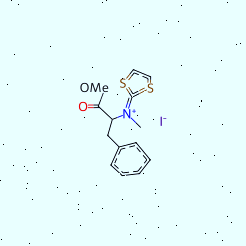 COC(=O)C(Cc1ccccc1)[N+](C)=c1sccs1.[I-]